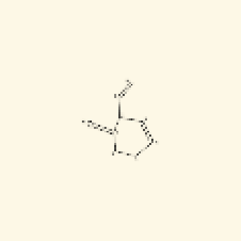 C=CC1C=CCCC1=O